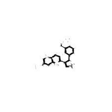 COCc1cccc(-c2n[nH]cc2-c2ccc3ncc(Br)cc3n2)c1